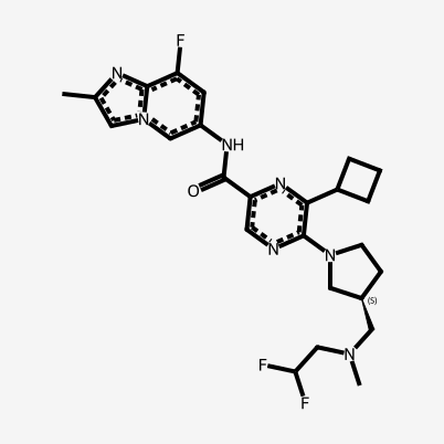 Cc1cn2cc(NC(=O)c3cnc(N4CC[C@@H](CN(C)CC(F)F)C4)c(C4CCC4)n3)cc(F)c2n1